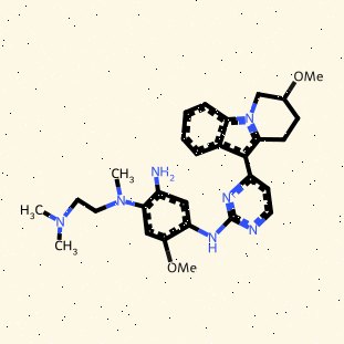 COc1cc(N(C)CCN(C)C)c(N)cc1Nc1nccc(-c2c3n(c4ccccc24)CC(OC)CC3)n1